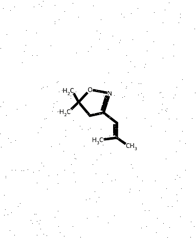 [CH2]C1([CH2])CC(C=C(C)C)=NO1